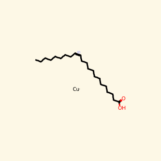 CCCCCCCC/C=C\CCCCCCCCCCCC(=O)O.[Cu]